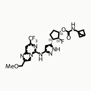 COCc1cn2c(Nc3cc([C@@H]4CC[C@H](OC(=O)NC56CC(C5)C6)[C@H]4F)[nH]n3)nc(C(F)(F)F)cc2n1